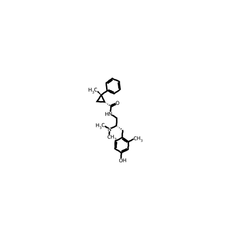 Cc1cc(O)ccc1C[C@@H](CNC(=O)[C@@H]1C[C@]1(C)c1ccccc1)N(C)C